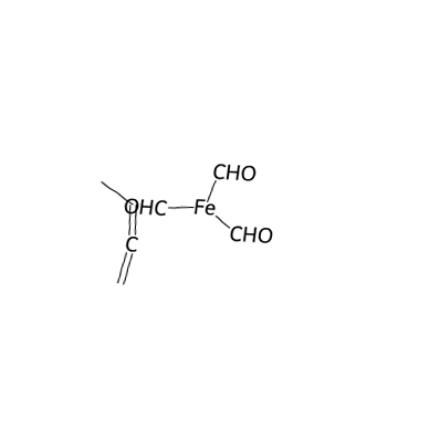 C=C=CC.O=[CH][Fe]([CH]=O)[CH]=O